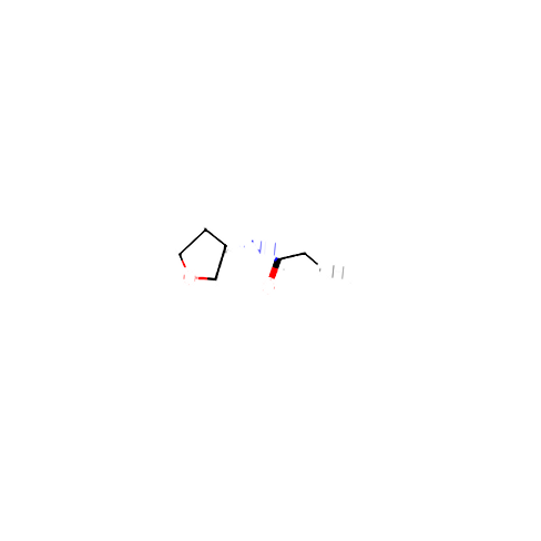 CCC(=O)N[C@H]1CCOC1